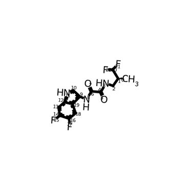 C[C@@H](CNC(=O)C(=O)Nc1c[nH]c2cc(F)c(F)cc12)C(F)F